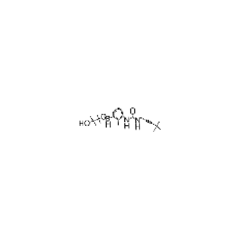 Cc1c(BOC(C)(C)C(C)(C)O)cccc1NC(=O)NCC#CC(C)(C)C